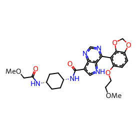 COCCOc1ccc2c(c1-c1ncnc3c(C(=O)N[C@H]4CC[C@@H](NC(=O)COC)CC4)c[nH]c13)OCO2